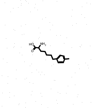 Cc1ccc(CCCCCC(N)C(=O)O)cc1